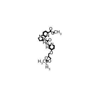 COC(=O)c1ccc2c(n1)N(C(=O)Nc1cc(OCC3COC(C)(C)O3)ccn1)[C@H]1CCN2C1